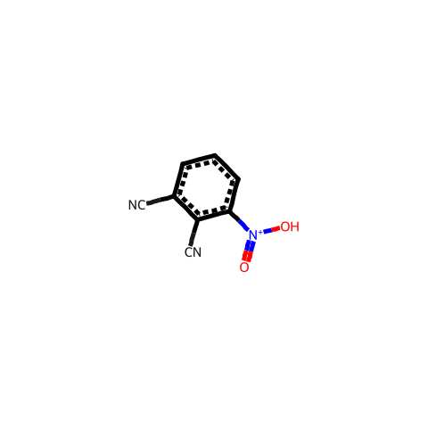 N#Cc1cccc([N+](=O)O)c1C#N